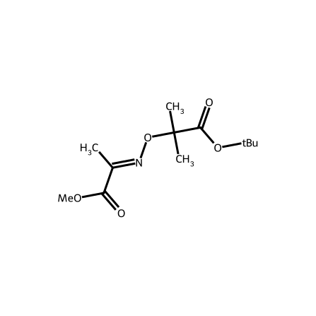 COC(=O)/C(C)=N/OC(C)(C)C(=O)OC(C)(C)C